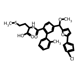 COC(c1ccc(C(=O)NC(CCSC)C(=O)O)c(-c2ccccc2C)c1)c1ccc(-c2ccc(Cl)cc2)o1